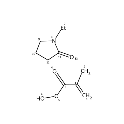 C=C(C)C(=O)OO.CCN1CCCC1=O